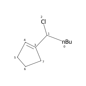 CCCCC(Cl)C1=CCCC1